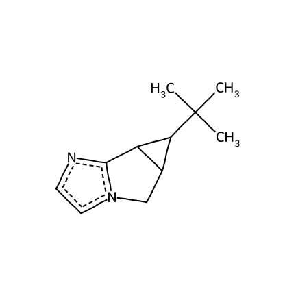 CC(C)(C)C1C2Cn3ccnc3C21